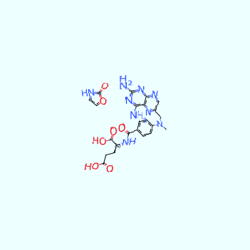 CN(Cc1cnc2nc(N)nc(N)c2n1)c1ccc(C(=O)N[C@@H](CCC(=O)O)C(=O)O)cc1.O=c1[nH]cco1